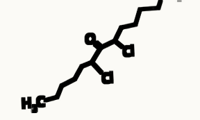 CCCCCC(Cl)C(=O)C(Cl)CCCCC